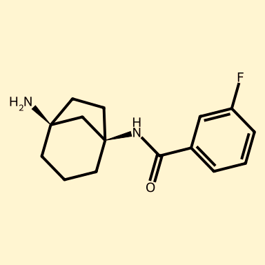 N[C@@]12CCC[C@@](NC(=O)c3cccc(F)c3)(CC1)C2